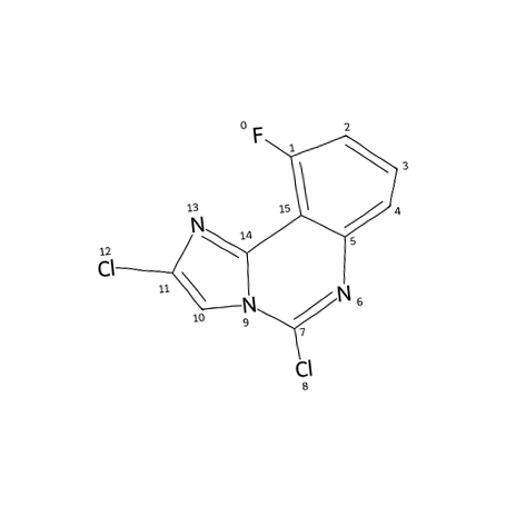 Fc1cccc2nc(Cl)n3cc(Cl)nc3c12